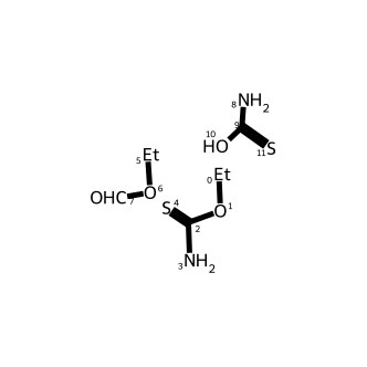 CCOC(N)=S.CCOC=O.NC(O)=S